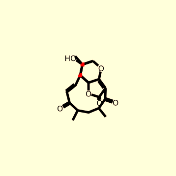 CC1CC(C)C(=O)C2=C3OC4C(C)CC3(OC2=O)C(/C=C/C1=O)C4O